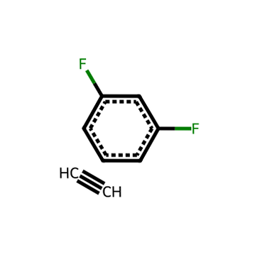 C#C.Fc1cccc(F)c1